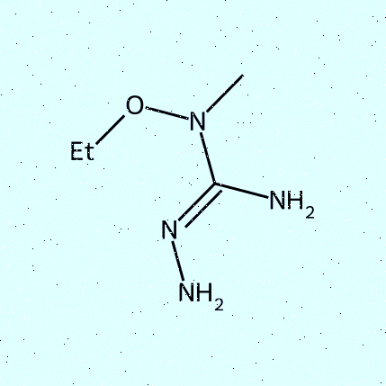 CCON(C)C(N)=NN